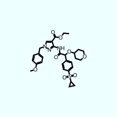 CCOC(=O)c1cn(Cc2ccc(OC)cc2)nc1NC(=O)C(OC1CCOCC1)c1ccc(S(=O)(=O)C2CC2)cc1